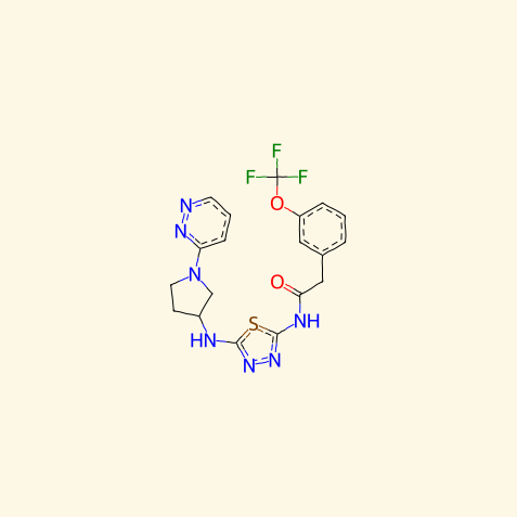 O=C(Cc1cccc(OC(F)(F)F)c1)Nc1nnc(NC2CCN(c3cccnn3)C2)s1